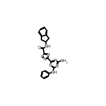 Nc1nc(Nc2ccccc2)nc(-c2noc(C(=O)NC3Cc4ccccc4C3)n2)n1